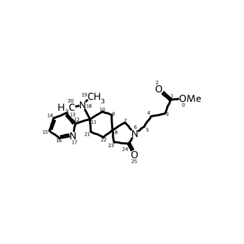 COC(=O)CCCN1CC2(CCC(c3ccccn3)(N(C)C)CC2)CC1=O